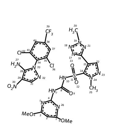 COc1cc(OC)nc(NC(=O)NS(=O)(=O)c2c(-c3nnn(C)n3)cnn2C)n1.Nc1c([N+](=O)[O-])cnn1-c1c(Cl)cc(C(F)(F)F)cc1Cl